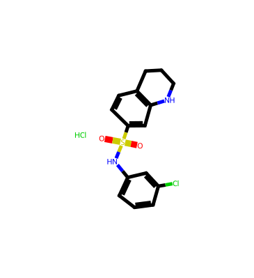 Cl.O=S(=O)(Nc1cccc(Cl)c1)c1ccc2c(c1)NCCC2